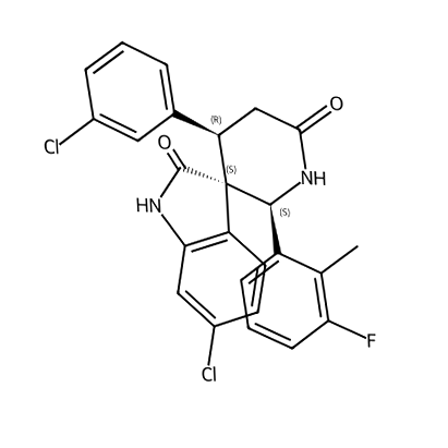 Cc1c(F)cccc1[C@@H]1NC(=O)C[C@H](c2cccc(Cl)c2)[C@@]12C(=O)Nc1cc(Cl)ccc12